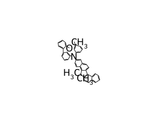 Cc1cccc(N(c2ccc3c4c(ccc3c2)-c2c(ccc3ccccc23)C4(C)C)c2cccc3c2oc2ccccc23)c1